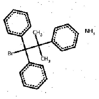 CC(C)(c1ccccc1)C(Br)(c1ccccc1)c1ccccc1.N